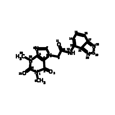 Cn1c(=O)c2c(ncn2CC(=O)Nc2cccc3nsnc23)n(C)c1=O